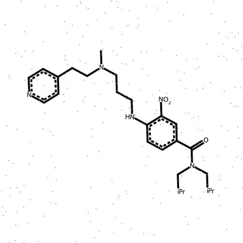 CC(C)CN(CC(C)C)C(=O)c1ccc(NCCCN(C)CCc2ccncc2)c([N+](=O)[O-])c1